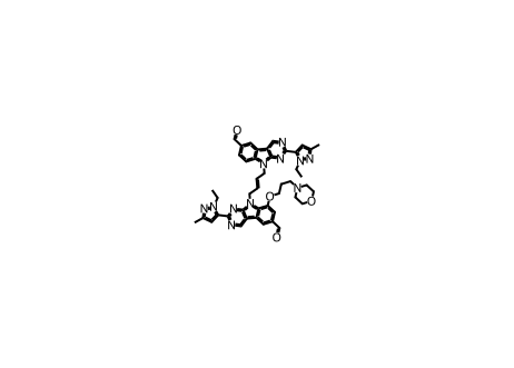 CCn1nc(C)cc1-c1ncc2c3cc(C=O)ccc3n(C/C=C/Cn3c4nc(-c5cc(C)nn5CC)ncc4c4cc(C=O)cc(OCCCN5CCOCC5)c43)c2n1